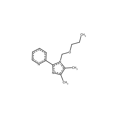 CCCOCn1c(-c2ccccn2)nc(C)c1C